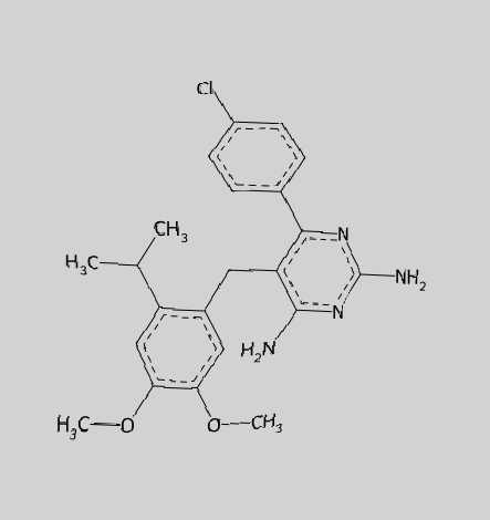 COc1cc(Cc2c(N)nc(N)nc2-c2ccc(Cl)cc2)c(C(C)C)cc1OC